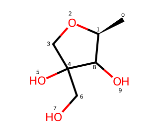 C[C@@H]1OCC(O)(CO)C1O